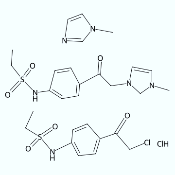 CCS(=O)(=O)Nc1ccc(C(=O)CCl)cc1.CCS(=O)(=O)Nc1ccc(C(=O)CN2C=CN(C)C2)cc1.Cl.Cn1ccnc1